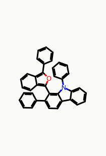 c1ccc(-c2ccc3c4ccccc4n(-c4ccccc4)c3c2-c2oc(-c3ccccc3)c3ccccc23)cc1